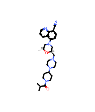 CC(C)C(=O)N1CCC(N2CCN(C[C@@H]3CN(c4ccc(C#N)c5ncccc45)C[C@@H](C)O3)CC2)CC1